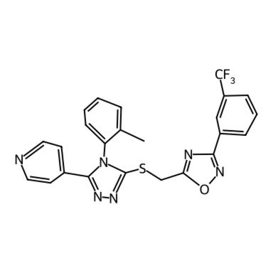 Cc1ccccc1-n1c(SCc2nc(-c3cccc(C(F)(F)F)c3)no2)nnc1-c1ccncc1